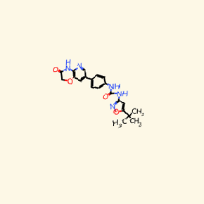 CC(C)(C)c1cc(NC(=O)Nc2ccc(-c3cnc4c(c3)OCC(=O)N4)cc2)no1